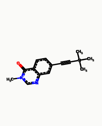 Cn1cnc2cc(C#C[Si](C)(C)C)ccc2c1=O